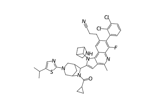 Cc1nc2c(F)c(-c3cccc(Cl)c3Cl)c(CCC#N)cc2c2c1cc(C1C3CC(CN(c4ncc(C(C)C)s4)C3)N1C(=O)C1CC1)n2C1C2CNC1C2